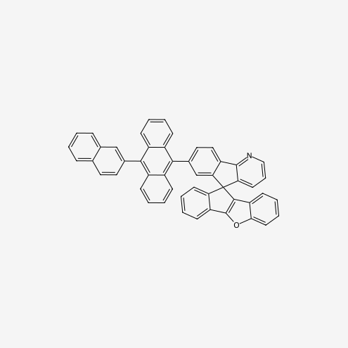 c1ccc2c(c1)-c1oc3ccccc3c1C21c2cc(-c3c4ccccc4c(-c4ccc5ccccc5c4)c4ccccc34)ccc2-c2ncccc21